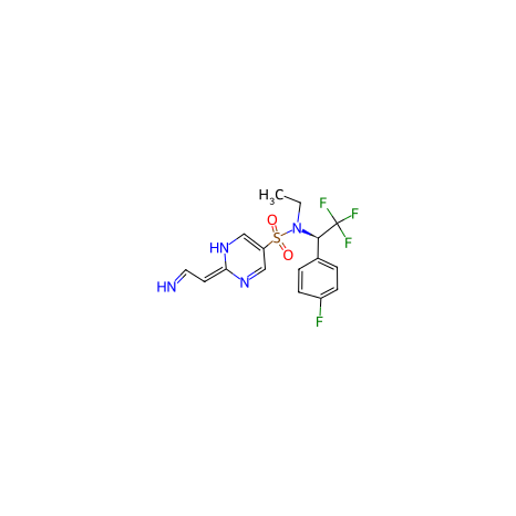 CCN([C@H](c1ccc(F)cc1)C(F)(F)F)S(=O)(=O)C1=CN/C(=C\C=N)N=C1